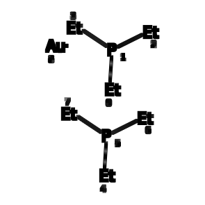 CCP(CC)CC.CCP(CC)CC.[Au]